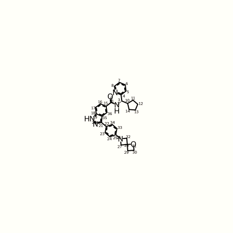 O=C(N[C@H](c1ccccn1)C1CCCC1)c1ccc2[nH]nc(-c3ccc(N4CC5(CCO5)C4)cc3)c2c1